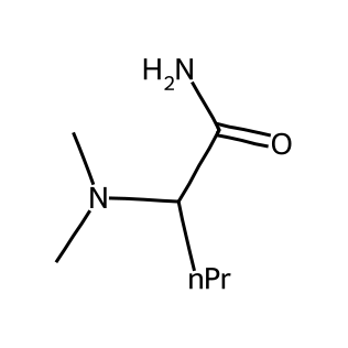 CCCC(C(N)=O)N(C)C